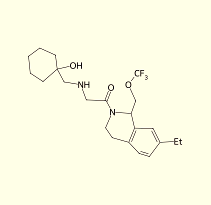 CCc1ccc2c(c1)C(COC(F)(F)F)N(C(=O)CNCC1(O)CCCCC1)CC2